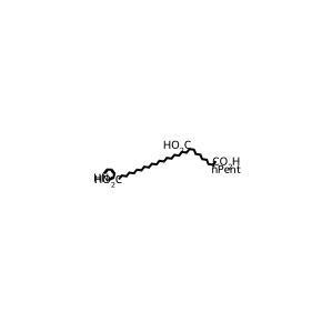 C1=CC=CNC=C1.CCCCCC(CCCCCCC(CCCCCCCCCCCCCCCCCCC(=O)O)C(=O)O)C(=O)O